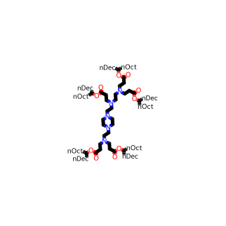 CCCCCCCCCCC(CCCCCCCC)OC(=O)CCN(CCC(=O)OC(CCCCCCCC)CCCCCCCCCC)CCN(CCC(=O)OC(CCCCCCCC)CCCCCCCCCC)CCN1CCN(CCN(CCC(=O)OC(CCCCCCCC)CCCCCCCCCC)CCC(=O)OC(CCCCCCCC)CCCCCCCCCC)CC1